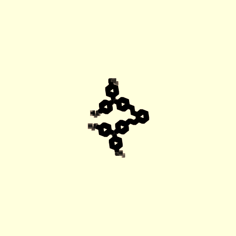 Cc1ccc(N(c2ccc(C)cc2)c2ccc(CCc3ccccc3CCc3ccc(N(c4ccc(C)cc4)c4ccc(C)cc4)cc3)cc2)cc1